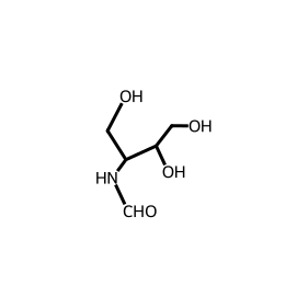 O=CNC(CO)C(O)CO